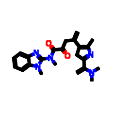 C=C(CC(=O)C(=O)N(C)c1nc2ccccc2n1C)C1=C(C)N=C(C(=C)N(C)C)C1